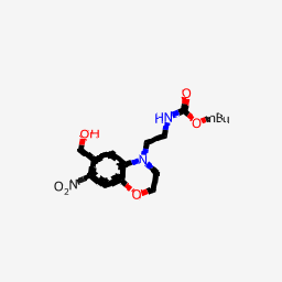 CCCCOC(=O)NCCN1CCOc2cc([N+](=O)[O-])c(CO)cc21